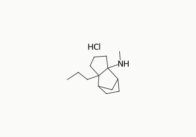 CCCC12CCCC1(NC)C1CCC2C1.Cl